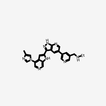 CCNCc1cncc(-c2cnc3[nH]nc(-c4cc5c(-n6cnc(C)c6)cncc5[nH]4)c3c2)c1